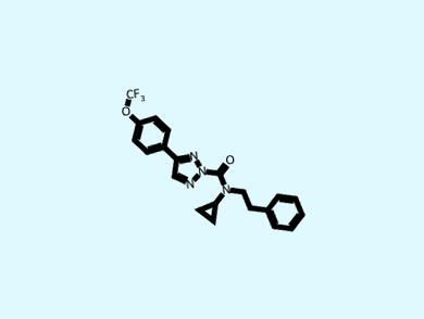 O=C(N(CCc1ccccc1)C1CC1)n1ncc(-c2ccc(OC(F)(F)F)cc2)n1